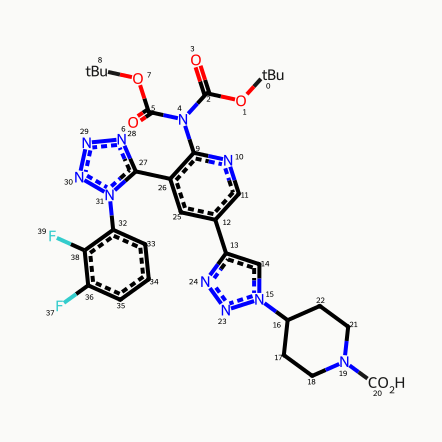 CC(C)(C)OC(=O)N(C(=O)OC(C)(C)C)c1ncc(-c2cn(C3CCN(C(=O)O)CC3)nn2)cc1-c1nnnn1-c1cccc(F)c1F